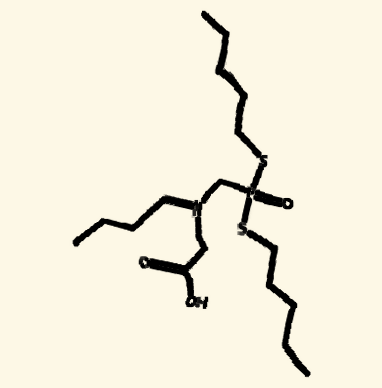 CCCCCSP(=O)(CN(CCCC)CC(=O)O)SCCCCC